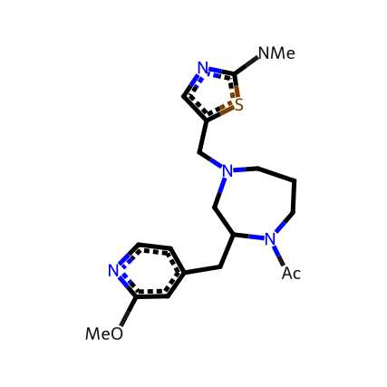 CNc1ncc(CN2CCCN(C(C)=O)C(Cc3ccnc(OC)c3)C2)s1